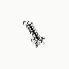 CCN(C(O)(C(F)(F)F)C(F)(F)C(F)(F)C(F)(F)C(F)(F)C(F)(F)C(F)(F)C(F)(F)C(F)(F)F)S(=O)(=O)F